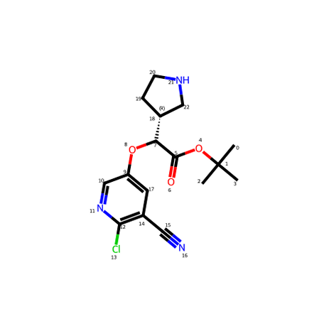 CC(C)(C)OC(=O)C(Oc1cnc(Cl)c(C#N)c1)[C@@H]1CCNC1